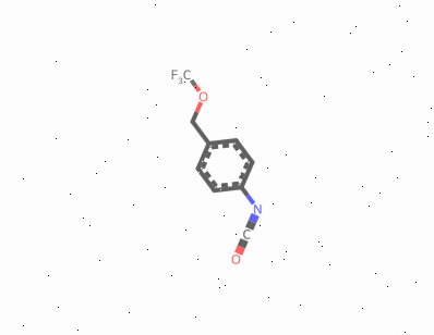 O=C=Nc1ccc(COC(F)(F)F)cc1